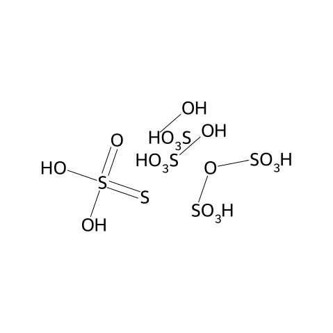 O=S(=O)(O)O.O=S(=O)(O)O.O=S(=O)(O)OS(=O)(=O)O.O=S(O)(O)=S